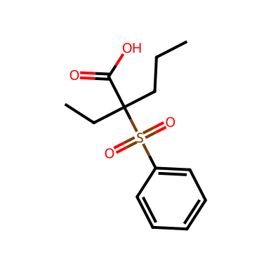 CCCC(CC)(C(=O)O)S(=O)(=O)c1ccccc1